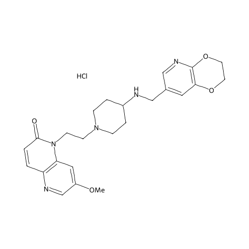 COc1cnc2ccc(=O)n(CCN3CCC(NCc4cnc5c(c4)OCCO5)CC3)c2c1.Cl